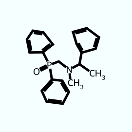 CC(c1ccccc1)N(C)CP(=O)(c1ccccc1)c1ccccc1